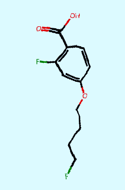 O=C(O)c1ccc(OCCCCF)cc1F